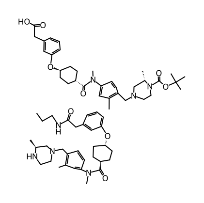 CCCNC(=O)Cc1cccc(O[C@H]2CC[C@H](C(=O)N(C)c3ccc(CN4CCN[C@@H](C)C4)c(C)c3)CC2)c1.Cc1cc(N(C)C(=O)[C@H]2CC[C@H](Oc3cccc(CC(=O)O)c3)CC2)ccc1CN1CCN(C(=O)OC(C)(C)C)[C@@H](C)C1